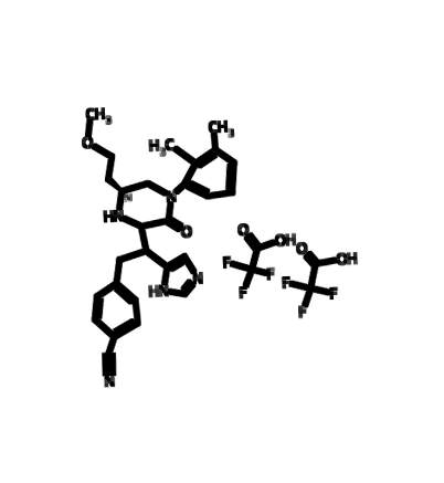 COCC[C@H]1CN(c2cccc(C)c2C)C(=O)C(C(Cc2ccc(C#N)cc2)c2cnc[nH]2)N1.O=C(O)C(F)(F)F.O=C(O)C(F)(F)F